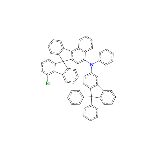 Brc1cccc2c1-c1ccccc1C21c2ccccc2-c2c1cc(N(c1ccccc1)c1ccc3c(c1)-c1ccccc1C3(c1ccccc1)c1ccccc1)c1ccccc21